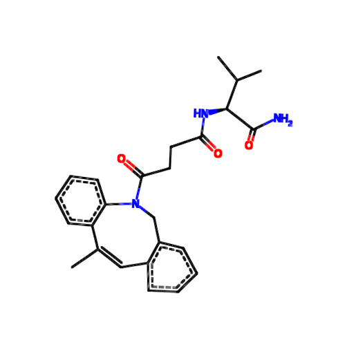 C/C1=C/c2ccccc2CN(C(=O)CCC(=O)N[C@H](C(N)=O)C(C)C)c2ccccc21